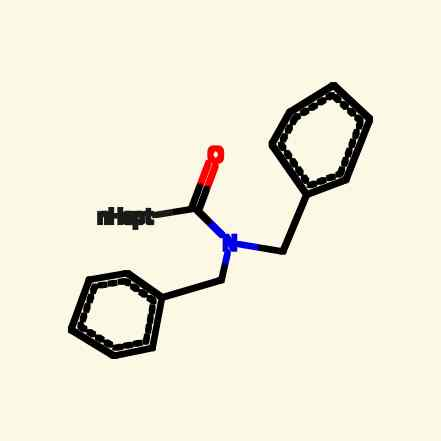 CCCCCCCC(=O)N(Cc1ccccc1)Cc1ccccc1